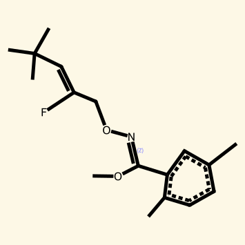 CO/C(=N\OCC(F)=CC(C)(C)C)c1cc(C)ccc1C